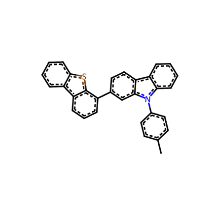 Cc1ccc(-n2c3ccccc3c3ccc(-c4cccc5c4sc4ccccc45)cc32)cc1